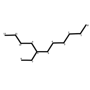 CCCCCCC(CC)CCCC